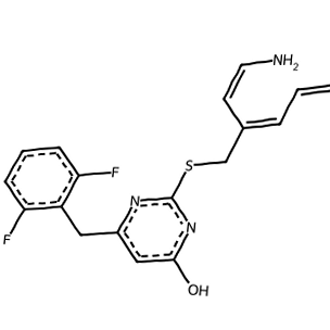 C=C/C=C(\C=C/N)CSc1nc(O)cc(Cc2c(F)cccc2F)n1